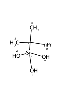 CCCC(C)(C)[Si](O)(O)O